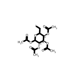 CC(=O)OC1OC(CI)[C@@H](OC(C)=O)[C@@H](OC(C)=O)[C@@H]1OC(C)=O